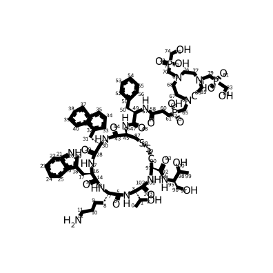 CC(O)[C@@H]1NC(=O)[C@H](CCCCN)NC(=O)[C@@H](Cc2c[nH]c3ccccc23)NC(=O)[C@H](Cc2cccc3ccccc23)NC(=O)[C@@H](NC(=O)[C@@H](Cc2ccccc2)NC(=O)CCP(=O)(O)CN2CCN(CP(=O)(O)CO)CCN(CP(=O)(O)CO)CC2)CSSC[C@@H](C(=O)N[C@H](CO)C(C)O)NC1=O